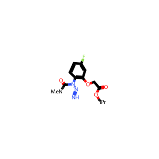 CNC(=O)N(N=N)c1ccc(F)cc1OCC(=O)OC(C)C